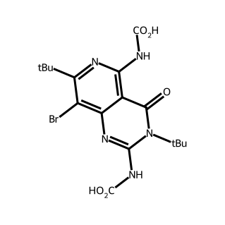 CC(C)(C)c1nc(NC(=O)O)c2c(=O)n(C(C)(C)C)c(NC(=O)O)nc2c1Br